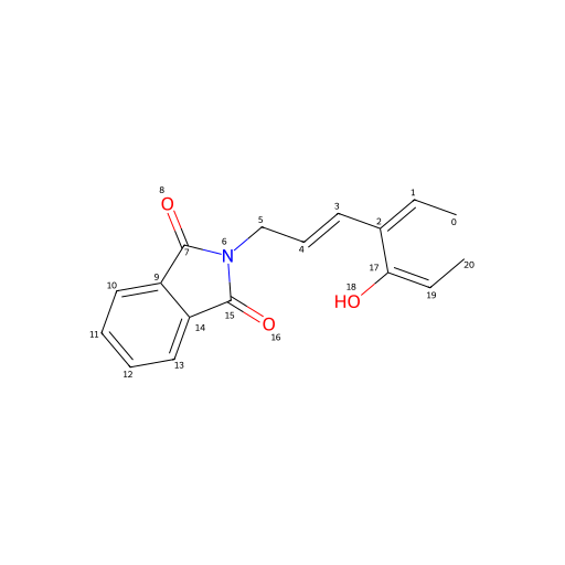 C/C=C(/C=C/CN1C(=O)c2ccccc2C1=O)C(\O)=C/C